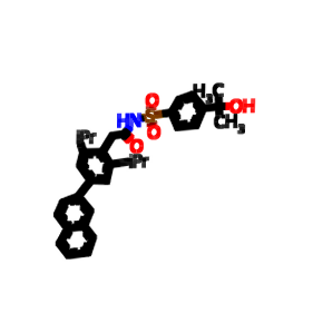 CC(C)c1cc(-c2ccc3ccccc3c2)cc(C(C)C)c1CC(=O)NS(=O)(=O)c1ccc(C(C)(C)O)cc1